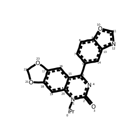 CC(C)n1c(=O)nc(-c2ccc3ocnc3c2)c2cc3c(cc21)OCO3